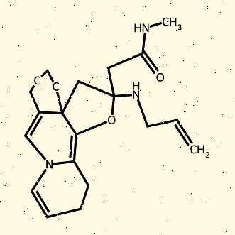 C=CCNC1(CC(=O)NC)CC23CCCCC2=CN2C=CCCC2=C3O1